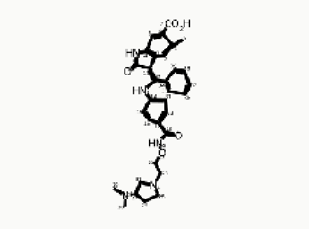 Cc1cc2c(cc1C(=O)O)NC(=O)/C2=C(\Nc1ccc(C(=O)NOCCN2CC[C@H](N(C)C)C2)cc1)c1ccccc1